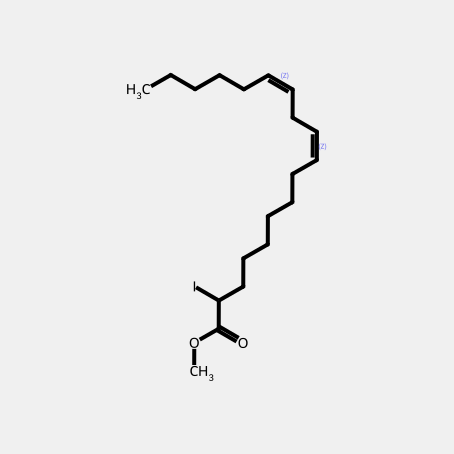 CCCCC/C=C\C/C=C\CCCCCCC(I)C(=O)OC